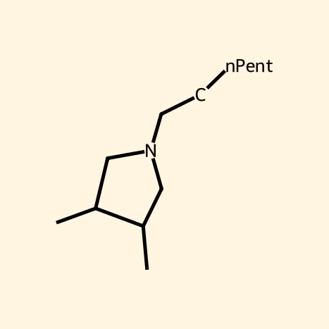 CCCCCCCN1CC(C)C(C)C1